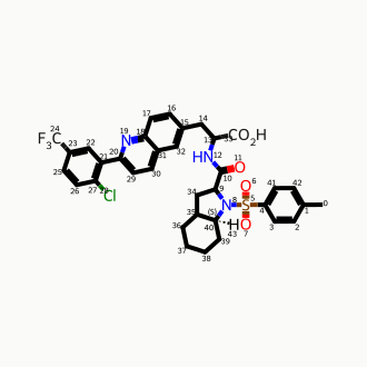 Cc1ccc(S(=O)(=O)N2C(C(=O)NC(Cc3ccc4nc(-c5cc(C(F)(F)F)ccc5Cl)ccc4c3)C(=O)O)CC3CCCC[C@@H]32)cc1